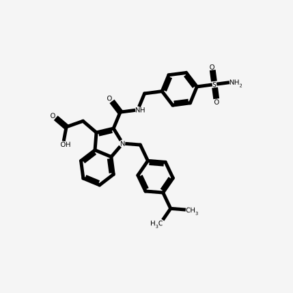 CC(C)c1ccc(Cn2c(C(=O)NCc3ccc(S(N)(=O)=O)cc3)c(CC(=O)O)c3ccccc32)cc1